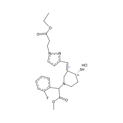 CCOC(=O)CCn1ccc(/C=C2\CN(C(C(=O)OC)c3ccccc3F)CC[C@H]2S)n1.Cl